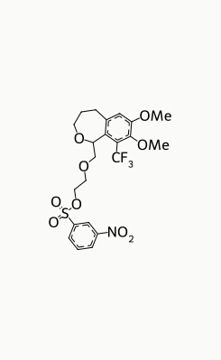 COc1cc2c(c(C(F)(F)F)c1OC)C(COCCOS(=O)(=O)c1cccc([N+](=O)[O-])c1)OCCC2